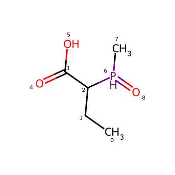 CCC(C(=O)O)[PH](C)=O